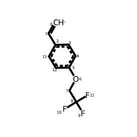 [CH]=Cc1ccc(OCC(F)(F)F)cc1